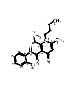 CCCCn1c(C)cc(=O)c(C(=O)Nc2ccccc2Cl)c1CC